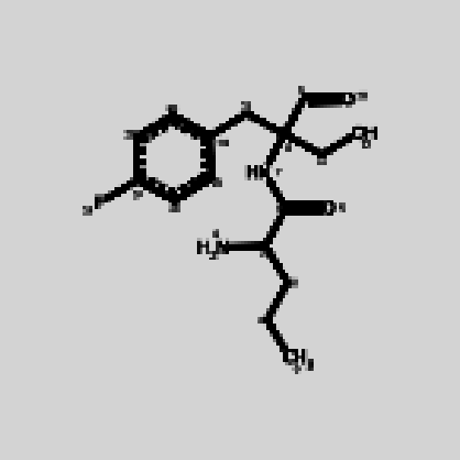 CCCC(N)C(=O)NC(C=O)(CO)Cc1ccc(F)cc1